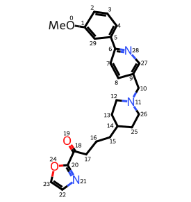 COc1cccc(-c2ccc(CN3CCC(CCCC(=O)c4ncco4)CC3)cn2)c1